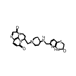 O=C1CSc2ccc(CNC3CCN(CC4CCn5c(=O)cnc6ccc(=O)n4c65)CC3)nc2N1